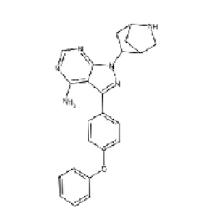 Nc1ncnc2c1c(-c1ccc(Oc3ccccc3)cc1)nn2C1CC2CC1CN2